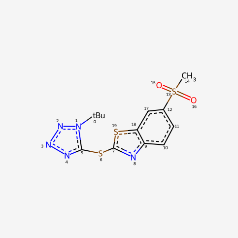 CC(C)(C)n1nnnc1Sc1nc2ccc(S(C)(=O)=O)cc2s1